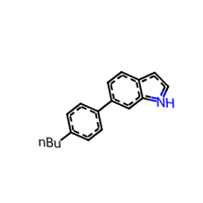 CCCCc1ccc(-c2ccc3cc[nH]c3c2)cc1